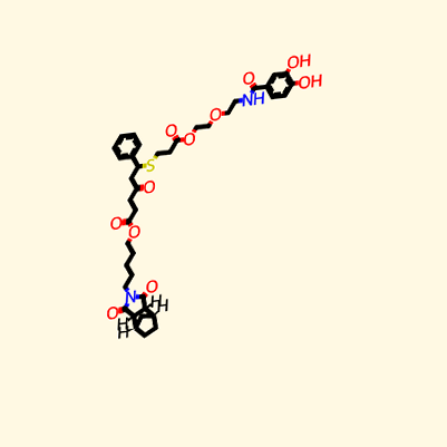 O=C(CCC(=O)OCCCCCN1C(=O)[C@@H]2[C@H]3CC[C@H](C3)[C@@H]2C1=O)CC(SCCC(=O)OCCOCCNC(=O)c1ccc(O)c(O)c1)c1ccccc1